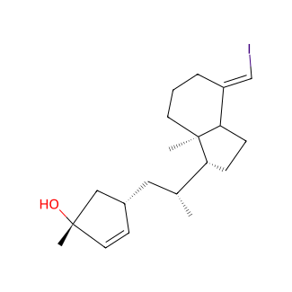 C[C@H](C[C@@H]1C=C[C@](C)(O)C1)[C@H]1CCC2C(=CI)CCC[C@@]21C